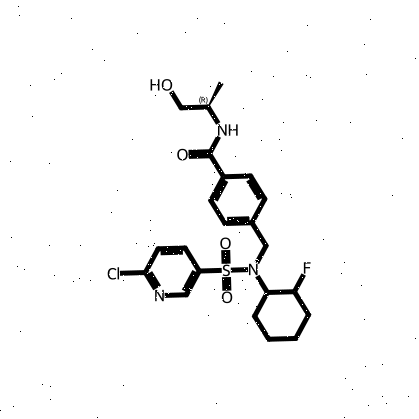 C[C@H](CO)NC(=O)c1ccc(CN(C2CCCCC2F)S(=O)(=O)c2ccc(Cl)nc2)cc1